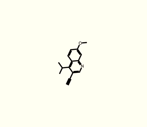 C#Cc1cnc2cc(OC)ccc2c1C(C)C